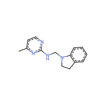 Cc1ccnc(NCN2CCc3ccccc32)n1